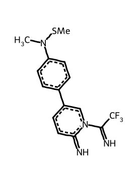 CSN(C)c1ccc(-c2ccc(=N)n(C(=N)C(F)(F)F)c2)cc1